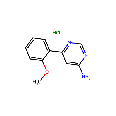 COc1ccccc1-c1cc(N)ncn1.Cl